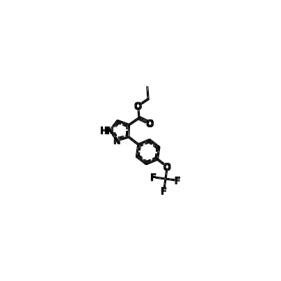 CCOC(=O)c1c[nH]nc1-c1ccc(OC(F)(F)F)cc1